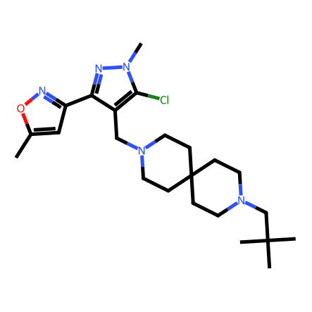 Cc1cc(-c2nn(C)c(Cl)c2CN2CCC3(CC2)CCN(CC(C)(C)C)CC3)no1